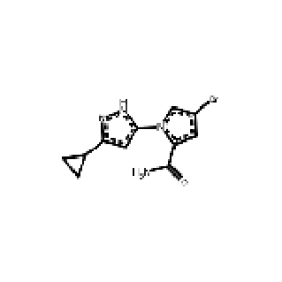 NC(=O)c1cc(Br)cn1-c1cc(C2CC2)n[nH]1